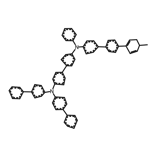 CC1C=CC(c2ccc(-c3ccc(N(c4ccccc4)c4ccc(-c5ccc(N(c6ccc(-c7ccccc7)cc6)c6ccc(-c7ccccc7)cc6)cc5)cc4)cc3)cc2)=CC1